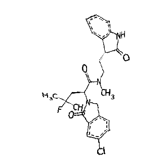 CN(CC[C@H]1C(=O)Nc2ccccc21)C(=O)[C@H](CC(C)(C)F)N1Cc2ccc(Cl)cc2C1=O